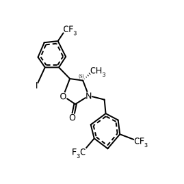 C[C@H]1C(c2cc(C(F)(F)F)ccc2I)OC(=O)N1Cc1cc(C(F)(F)F)cc(C(F)(F)F)c1